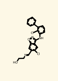 OCCN=Cc1cc2onc(Nc3cccc(-c4ccccc4)c3Cl)c2cc1Cl